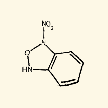 O=[N+]([O-])N1ONc2[c]cccc21